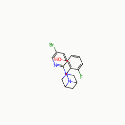 Oc1cccc(F)c1CN1C2CC1CN(c1ccc(Br)cn1)C2